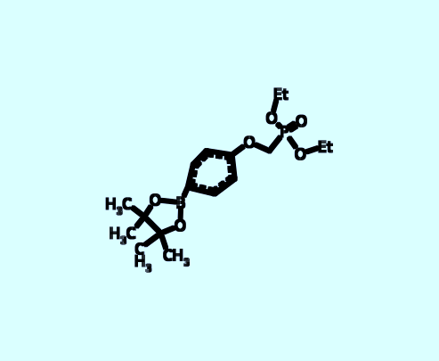 CCOP(=O)(COc1ccc(B2OC(C)(C)C(C)(C)O2)cc1)OCC